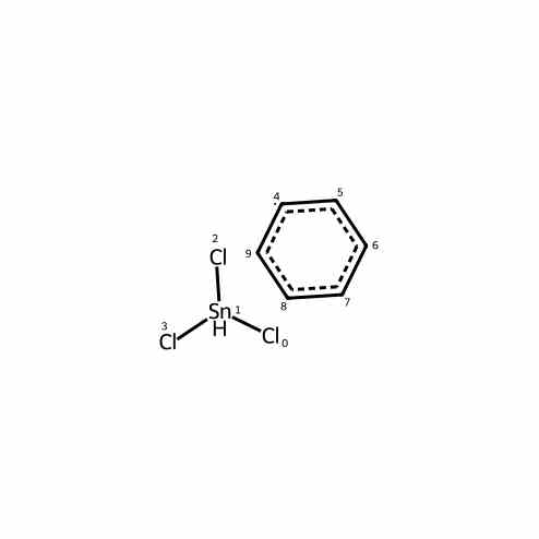 [Cl][SnH]([Cl])[Cl].[c]1ccccc1